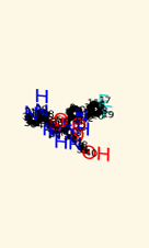 O=C(C[C@@H](NC(=O)c1cccn(Cc2ccc(F)c(F)c2)c1=O)c1nnc(-c2c[nH]c3ncccc23)o1)NCCO